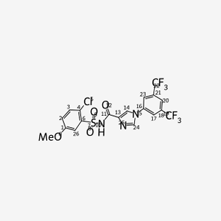 COc1ccc(Cl)c(S(=O)(=O)NC(=O)c2cn(-c3cc(C(F)(F)F)cc(C(F)(F)F)c3)cn2)c1